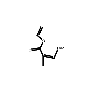 C=COC(=O)C(C)=COC(C)=O